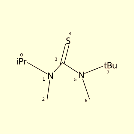 CC(C)N(C)C(=S)N(C)C(C)(C)C